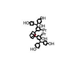 CC(C)c1cc(C23CC4CC(C2)CC(c2cc(C(C)C)c(O)c(C(c5ccc(O)cc5)c5ccc(O)cc5)c2)(C4)C3)cc(C(c2ccc(O)cc2)c2ccc(O)cc2)c1O